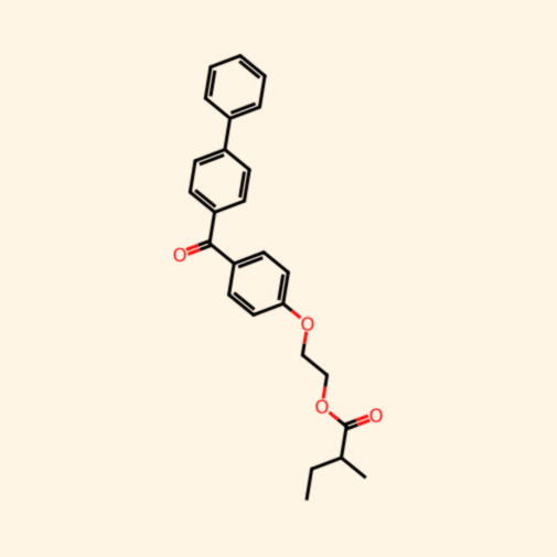 CCC(C)C(=O)OCCOc1ccc(C(=O)c2ccc(-c3ccccc3)cc2)cc1